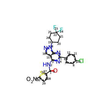 O=C(Nc1nc(-c2ccc(Cl)cc2)nc2c1cnn2C1CCC(F)(F)CC1)c1ccc([N+](=O)[O-])s1